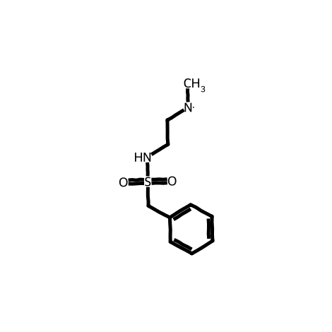 C[N]CCNS(=O)(=O)Cc1ccccc1